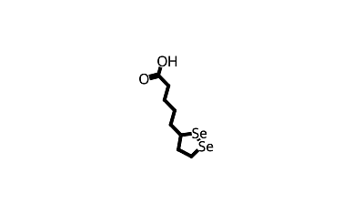 O=C(O)CCCCC1CC[Se][Se]1